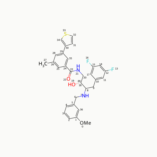 COc1cccc(CNC(Cc2cc(F)cc(F)c2)[C@H](O)CNC(=O)c2cc(C)cc(-c3ccsc3)c2)c1